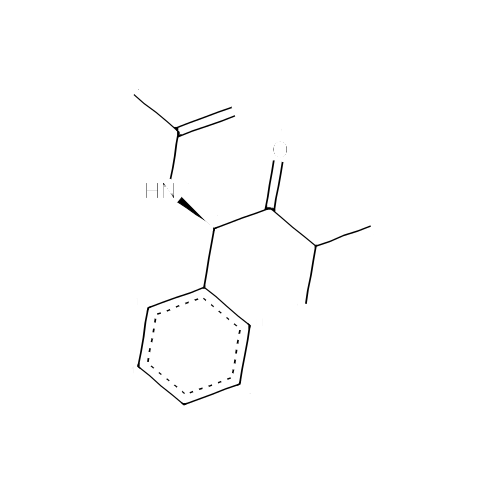 C=C(C)N[C@@H](C(=O)C(C)C)c1ccccc1